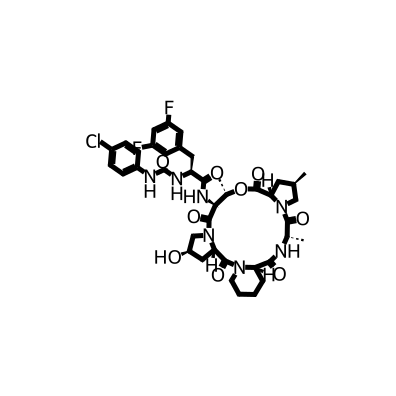 C[C@@H]1C[C@H]2C(=O)O[C@@H](C)[C@H](NC(=O)[C@H](Cc3cc(F)cc(F)c3)NC(=O)Nc3ccc(Cl)cc3)C(=O)N3C[C@H](O)C[C@H]3C(=O)N3CCCC[C@H]3C(=O)N[C@@H](C)C(=O)N2C1